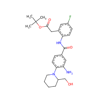 CC(C)(C)OC(=O)Cc1cc(F)ccc1NC(=O)c1ccc(N2CCCCC2CO)c(N)c1